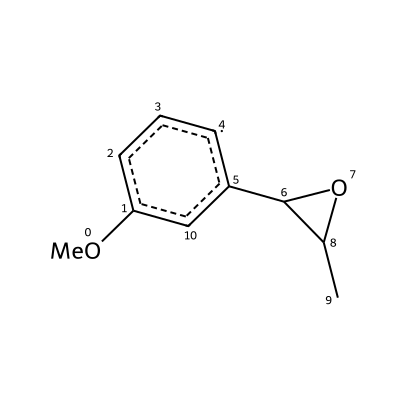 COc1cc[c]c(C2OC2C)c1